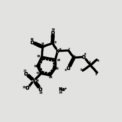 CC(C)(C)OC(=O)CN1C(=O)C(=O)c2cc(S(=O)(=O)[O-])ccc21.[Na+]